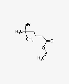 C=COC(=O)CCCC(C)(C)CCC